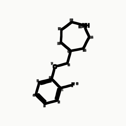 Fc1ccccc1OCC1CCCNCC1